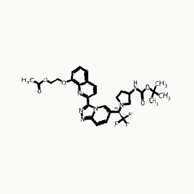 CC(=O)OCCOc1cccc2ccc(-c3nnc4ccc([C@@H](N5CCC(NC(=O)OC(C)(C)C)C5)C(F)(F)F)cn34)nc12